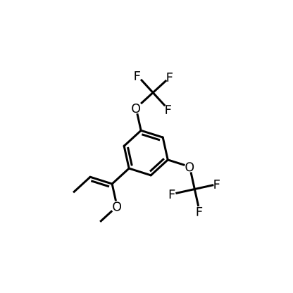 CC=C(OC)c1cc(OC(F)(F)F)cc(OC(F)(F)F)c1